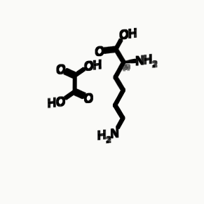 NCCCC[C@H](N)C(=O)O.O=C(O)C(=O)O